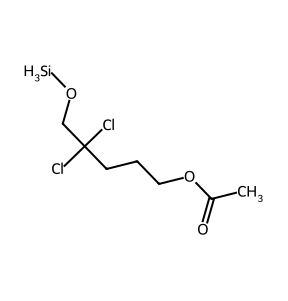 CC(=O)OCCCC(Cl)(Cl)CO[SiH3]